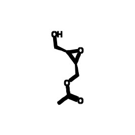 CC(=O)OC[C@@H]1O[C@@H]1CO